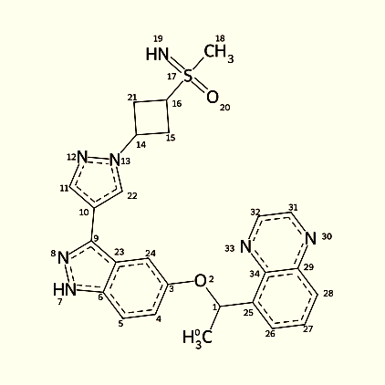 CC(Oc1ccc2[nH]nc(-c3cnn(C4CC(S(C)(=N)=O)C4)c3)c2c1)c1cccc2nccnc12